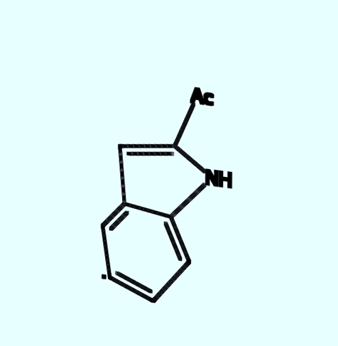 CC(=O)c1cc2c[c]ccc2[nH]1